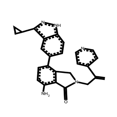 C=C(CN1Cc2c(-c3ccc4[nH]nc(C5CC5)c4c3)ccc(N)c2C1=O)c1ccncc1